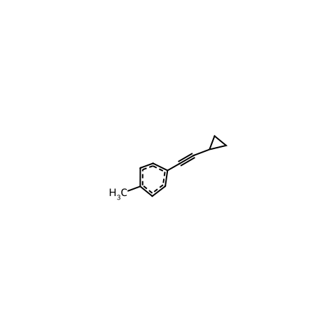 Cc1ccc(C#CC2CC2)cc1